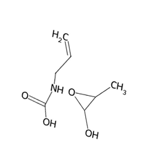 C=CCNC(=O)O.CC1OC1O